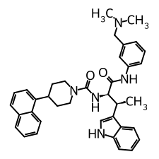 C[C@@H](c1c[nH]c2ccccc12)[C@@H](NC(=O)N1CCC(c2cccc3ccccc23)CC1)C(=O)Nc1cccc(CN(C)C)c1